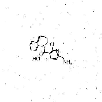 Cl.NCc1ccc(C(=O)N2CCCC=C3C=CCC=C32)c(Cl)n1